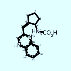 O=C(O)NC1CCCC1=Cc1cnc2ccccc2n1